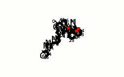 C[C@H](Oc1cc(-n2ccc(-c3cn([C@H]4CCOC4)nn3)n2)nc(-c2noc3c2CCC[C@@]32CCCc3sc(N)c(C#N)c32)n1)[C@@H]1CCCN1C